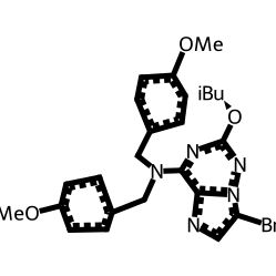 CC[C@H](C)Oc1nc(N(Cc2ccc(OC)cc2)Cc2ccc(OC)cc2)c2ncc(Br)n2n1